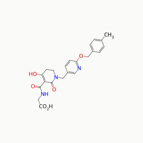 Cc1ccc(COc2ccc(CN3CCC(O)=C(C(=O)NCC(=O)O)C3=O)cn2)cc1